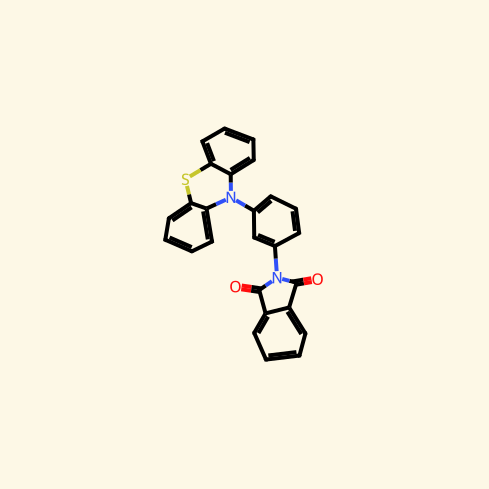 O=C1c2ccccc2C(=O)N1c1cccc(N2c3ccccc3Sc3ccccc32)c1